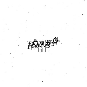 O=C(Nc1nnc(Oc2ccncc2)s1)Nc1cccc(C(F)(F)F)c1F